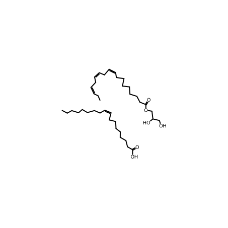 CC/C=C\C/C=C\C/C=C\CCCCCCCC(=O)OCC(O)CO.CCCCCCCC/C=C\CCCCCCCC(=O)O